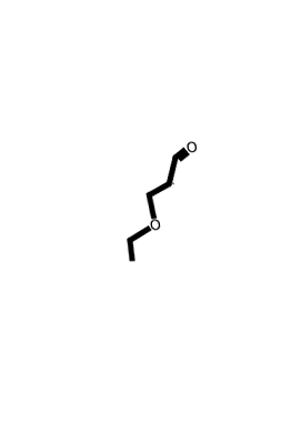 CCOC[CH]C=O